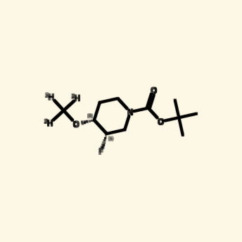 [2H]C([2H])([2H])O[C@@H]1CCN(C(=O)OC(C)(C)C)C[C@@H]1F